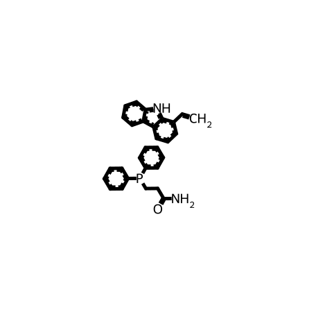 C=Cc1cccc2c1[nH]c1ccccc12.NC(=O)CCP(c1ccccc1)c1ccccc1